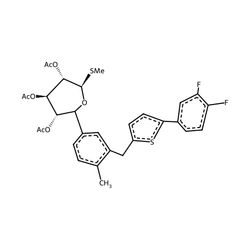 CS[C@H]1OC(c2ccc(C)c(Cc3ccc(-c4ccc(F)c(F)c4)s3)c2)[C@H](OC(C)=O)[C@@H](OC(C)=O)[C@@H]1OC(C)=O